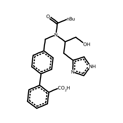 CCCCC(=O)N(Cc1ccc(-c2ccccc2C(=O)O)cc1)C(CO)Cc1c[nH]cn1